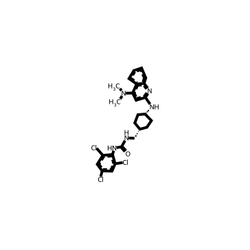 CN(C)c1cc(N[C@H]2CC[C@@H](CNC(=O)Nc3c(Cl)cc(Cl)cc3Cl)CC2)nc2ccccc12